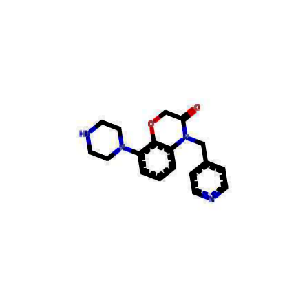 O=C1COc2c(N3CCNCC3)cccc2N1Cc1ccncc1